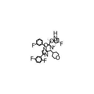 C[C@H](O)C(=O)N(C[C@@H]1CNC[C@@H]1F)[C@@H](c1nc(-c2cc(F)ccc2F)cn1Cc1cccc(F)c1)C1CCOCC1